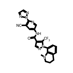 CN1CCCc2cccc(-n3ncc(C(=O)Nc4cnc(-n5nccn5)c(C#N)c4)c3C(F)(F)F)c21